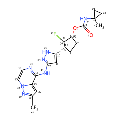 CC1(NC(=O)O[C@@H]2CC[C@H](c3cc(Nc4nccn5nc(C(F)(F)F)cc45)n[nH]3)[C@H]2F)CC1